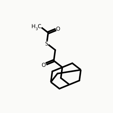 CC(=O)SCC(=O)C12CC3CC(CC(C3)C1)C2